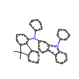 CC1(C)c2ccccc2-c2c(N(c3ccccc3)c3ccc4c5ccccc5n(-c5ccccc5)c4c3)cccc21